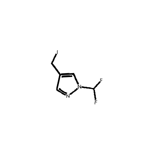 FC(F)n1cc(CI)cn1